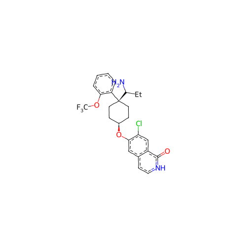 CCC(N)[C@]1(c2ccccc2OC(F)(F)F)CC[C@H](Oc2cc3cc[nH]c(=O)c3cc2Cl)CC1